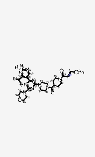 C/C=C/C(=O)N1CCC(C(=O)N2CCN(c3nc(-c4cnc(N)nc4C(F)F)nc(N4CCOCC4)n3)CC2)CC1